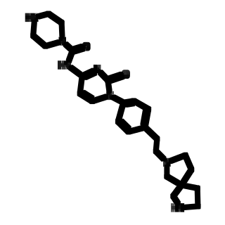 O=C(Nc1ccn(-c2ccc(CCN3CCC4(CCNC4)C3)cc2)c(=O)n1)N1CCNCC1